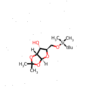 CC1(C)O[C@@H]2O[C@H](CO[Si](C)(C)C(C)(C)C)[C@@H](O)[C@H]2O1